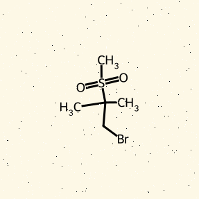 CC(C)(CBr)S(C)(=O)=O